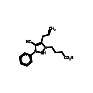 C=CCC1=C(C#N)N(c2ccccc2)NN1CCCC(=O)O